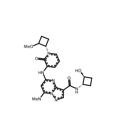 CNc1cc(Nc2cccn([C@H]3CCC3OC)c2=O)nc2c(C(=O)N[C@H]3CC[C@@H]3O)cnn12